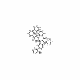 Brc1ccccc1-c1ccc2c3c4ccccc4ccc3n(-c3ccc4c(c3)C(c3ccccc3)(c3ccccc3)c3ccccc3-4)c2c1